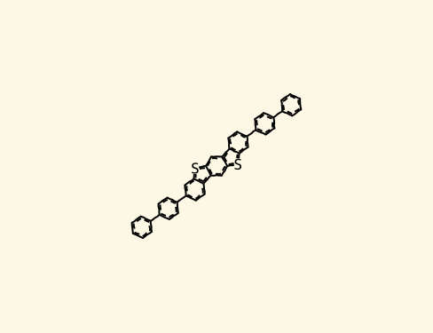 c1ccc(-c2ccc(-c3ccc4c(c3)sc3cc5c(cc34)sc3cc(-c4ccc(-c6ccccc6)cc4)ccc35)cc2)cc1